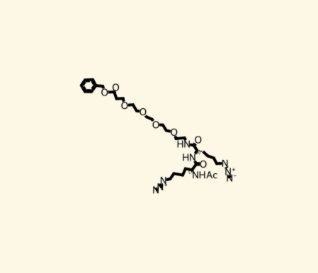 CC(=O)N[C@@H](CCCCN=[N+]=[N-])C(=O)N[C@@H](CCCCN=[N+]=[N-])C(=O)NCCOCCOCCOCCOCCC(=O)OCc1ccccc1